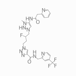 CN1NN(CC(F)CCn2cc(C(=O)NCc3cc(C(F)(F)F)ccn3)nn2)C=C1NC(=O)Cc1ccccn1